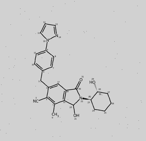 Cc1c(C#N)c(Cc2ccc(-n3cccn3)cc2)cc2c1C(O)N([C@@H]1CCCC[C@H]1O)C2=O